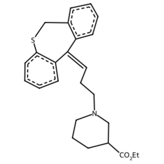 CCOC(=O)C1CCCN(CCC=C2c3ccccc3CSc3ccccc32)C1